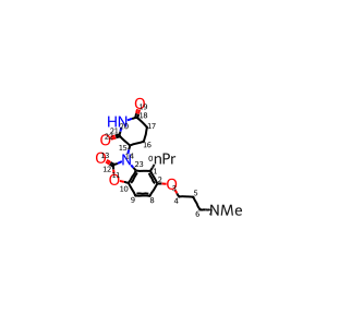 CCCc1c(OCCCNC)ccc2oc(=O)n(C3CCC(=O)NC3=O)c12